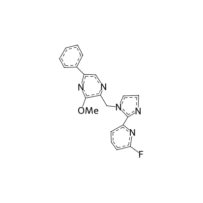 COc1nc(-c2ccccc2)cnc1Cn1ccnc1-c1cccc(F)n1